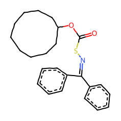 O=C(OC1CCCCCCCCC1)SN=C(c1ccccc1)c1ccccc1